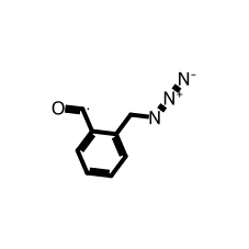 [N-]=[N+]=NCc1ccccc1[C]=O